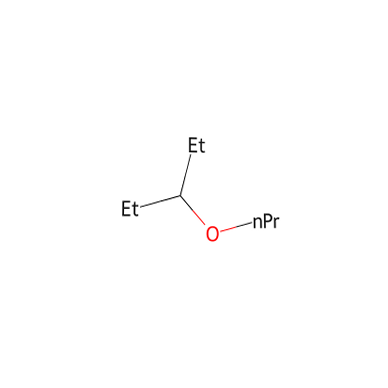 [CH2]CCOC(CC)CC